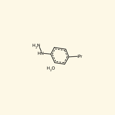 CC(C)c1ccc(NN)cc1.O